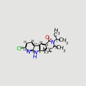 CC(C)N(C(=O)c1ccc2[nH]c3nc(Cl)ccc3c2c1)C(C)C